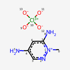 C[n+]1ncc(N)cc1N.[O-][Cl+3]([O-])([O-])[O-]